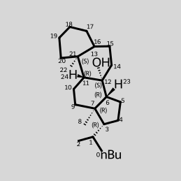 CCCCC(C)[C@H]1CC[C@@H]2[C@]1(C)CC[C@H]1[C@@]2(O)CCC2CCCC[C@@]21C